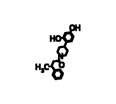 C[C@H](CC(=O)N1CCC(c2ccc(O)cc2O)CC1)c1ccccc1